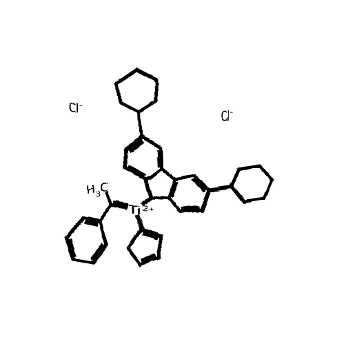 C/[C](c1ccccc1)=[Ti+2](/[C]1=CC=CC1)[CH]1c2ccc(C3CCCCC3)cc2-c2cc(C3CCCCC3)ccc21.[Cl-].[Cl-]